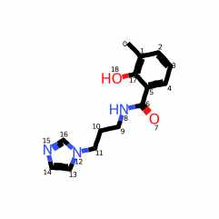 Cc1cccc(C(=O)NCCCn2ccnc2)c1O